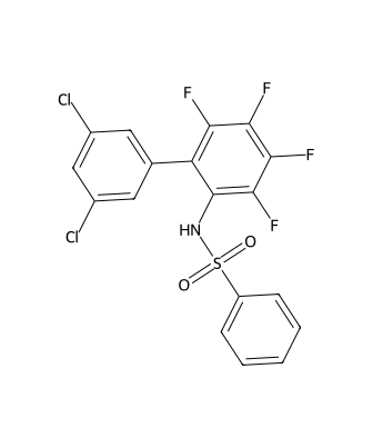 O=S(=O)(Nc1c(F)c(F)c(F)c(F)c1-c1cc(Cl)cc(Cl)c1)c1ccccc1